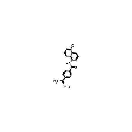 C=C(C)c1ccc(C(=O)Nc2cccc3c(O)cccc23)cc1